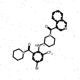 O=C(c1cc(Br)cc(C(F)(F)F)c1N[C@@H]1CCCN(C(=O)c2cncc3ccccc23)C1)N1CCCCC1